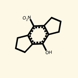 O=[N+]([O-])c1c2c(c(O)c3c1CCC3)CCC2